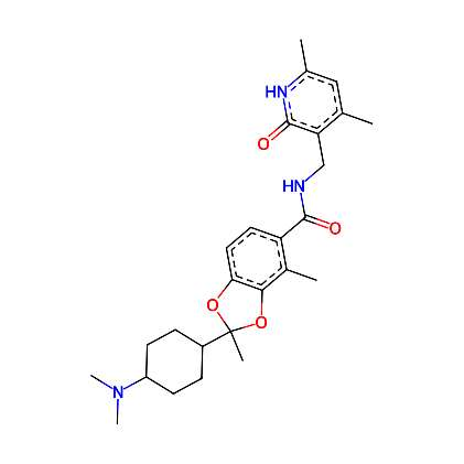 Cc1cc(C)c(CNC(=O)c2ccc3c(c2C)OC(C)(C2CCC(N(C)C)CC2)O3)c(=O)[nH]1